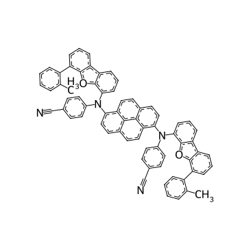 Cc1ccccc1-c1cccc2c1oc1c(N(c3ccc(C#N)cc3)c3ccc4ccc5c(N(c6ccc(C#N)cc6)c6cccc7c6oc6c(-c8ccccc8C)cccc67)ccc6ccc3c4c65)cccc12